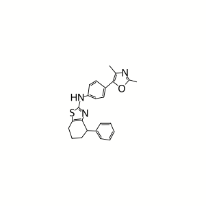 Cc1nc(C)c(-c2ccc(Nc3nc4c(s3)CCCC4c3ccccc3)cc2)o1